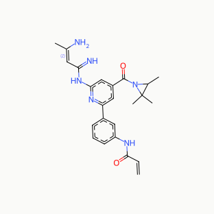 C=CC(=O)Nc1cccc(-c2cc(C(=O)N3C(C)C3(C)C)cc(NC(=N)/C=C(/C)N)n2)c1